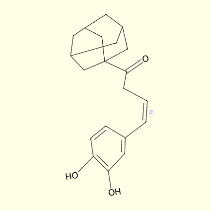 O=C(C/C=C\c1ccc(O)c(O)c1)C12CC3CC(CC(C3)C1)C2